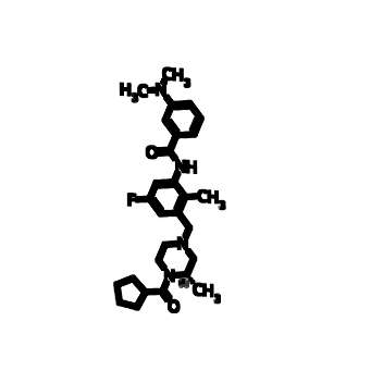 Cc1c(CN2CCN(C(=O)C3CCCC3)[C@@H](C)C2)cc(F)cc1NC(=O)c1cccc(N(C)C)c1